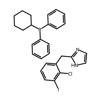 Clc1c(I)cccc1Cc1ncc[nH]1.c1ccc(B(c2ccccc2)C2CCCCC2)cc1